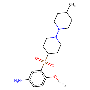 COc1ccc(N)cc1S(=O)(=O)C1CCN(N2CCC(C)CC2)CC1